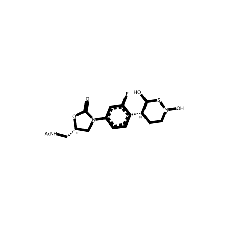 CC(=O)NC[C@H]1CN(c2ccc([C@H]3CCN(O)SC3O)c(F)c2)C(=O)O1